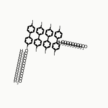 Ic1ccc(-c2ccc(I)cc2)cc1.Ic1ccc(-c2ccc(I)cc2)cc1.Ic1ccc(-c2ccc(I)cc2)cc1.Ic1ccc(-c2ccc(I)cc2)cc1.O.O.O.O.O.O.O.O.O.O.O.O.O.O.O.O.O.O.O.O.O.O.O